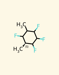 CC1C(F)C(F)C(F)[C@@H](C)C1F